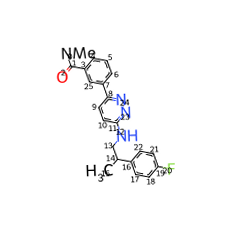 CNC(=O)c1cccc(-c2ccc(NCC(C)c3ccc(F)cc3)nn2)c1